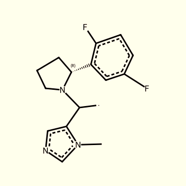 [CH2]C(c1cncn1C)N1CCC[C@@H]1c1cc(F)ccc1F